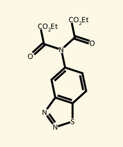 CCOC(=O)C(=O)N(C(=O)C(=O)OCC)c1ccc2snnc2c1